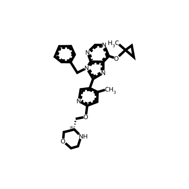 Cc1cc(OC[C@H]2COCCN2)ncc1-c1nc2c(OC3(C)CC3)ncnc2n1Cc1ccccc1